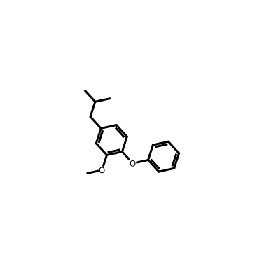 COc1cc(CC(C)C)ccc1Oc1ccccc1